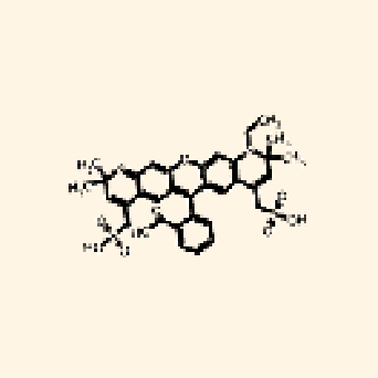 CCN1c2cc3c(cc2C(CS(=O)(=O)O)=CC1(C)C)C(c1ccccc1C(=O)O)=c1cc2c(cc1O3)=NC(C)(C)C=C2CS(=O)(=O)O